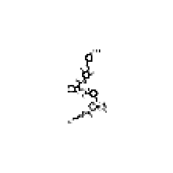 CC1(C)CN(C(=O)NCCCCO)CCN1Cc1cccc(C(=O)Nc2sc3c(c2C(=O)Nc2cc(F)c(CCc4ccc(C(=O)O)cc4)c(F)c2)CCCC3)c1